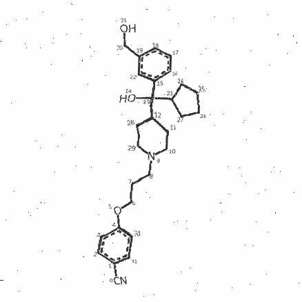 N#Cc1ccc(OCCCN2CCC(C(O)(c3cccc(CO)c3)C3CCCC3)CC2)cc1